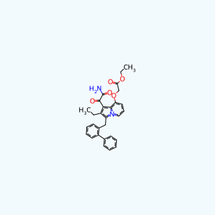 CCOC(=O)COc1cccn2c(Cc3ccccc3-c3ccccc3)c(CC)c(C(=O)C(N)=O)c12